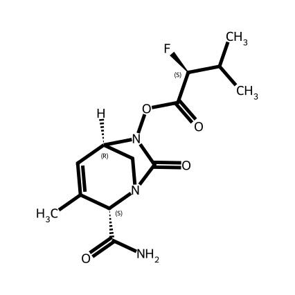 CC1=C[C@@H]2CN(C(=O)N2OC(=O)[C@@H](F)C(C)C)[C@@H]1C(N)=O